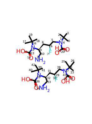 CC(C)(C)N(C[C@@H](F)C[C@@H](CN)N(C(=O)O)C(C)(C)C)C(=O)O.CC(C)(C)N(C[C@@H](F)C[C@@H](CN)N(C(=O)O)C(C)(C)C)C(=O)O